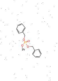 [CH2]C(C)OP(=O)(OCc1ccccc1)OCc1ccccc1